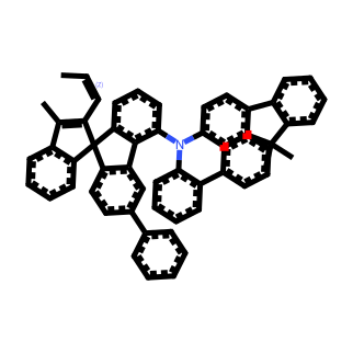 C/C=C\C1=C(C)c2ccccc2C12c1ccc(-c3ccccc3)cc1-c1c(N(c3ccc4c(c3)C(C)(C)c3ccccc3-4)c3ccccc3-c3ccccc3)cccc12